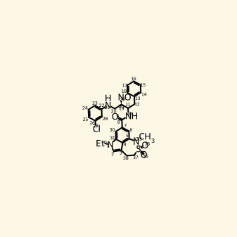 CCn1cc2c3c(cc(C(=O)NC(Cc4ccccc4)[C@@H](CNc4cccc(Cl)c4)N=O)cc31)N(C)S(=O)(=O)CC2